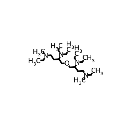 CCN(C)CCC(COCC(CCN(C)CC)N(CC)CC)N(CC)CC